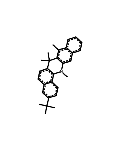 Cc1c2c(cc3ccccc13)N(C)c1c(ccc3cc(C(C)(C)C)ccc13)C2(C)C